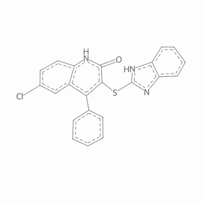 O=c1[nH]c2ccc(Cl)cc2c(-c2ccccc2)c1Sc1nc2ccccc2[nH]1